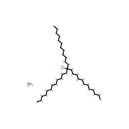 CCCCCCCCCCCCC(Cl)(CCCCCCCCCCCC)CCCCCCCCCCCC.N